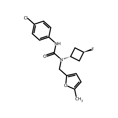 Cc1ccc(CN(C(=O)Nc2ccc(Cl)cc2)[C@H]2C[C@H](F)C2)o1